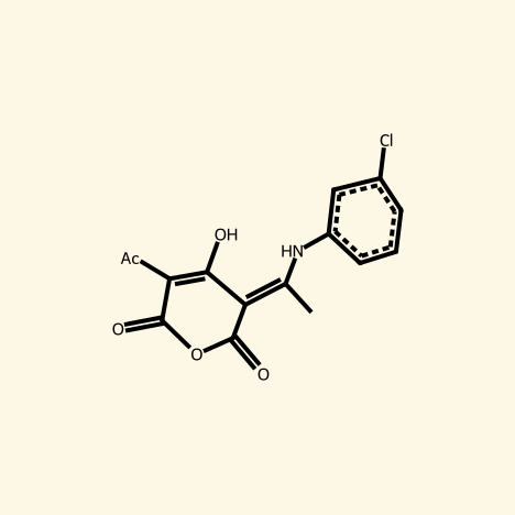 CC(=O)C1=C(O)C(=C(C)Nc2cccc(Cl)c2)C(=O)OC1=O